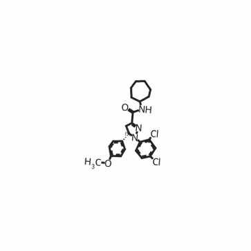 COc1ccc([C@@H]2CC(C(=O)NC3CCCCCC3)=NN2c2ccc(Cl)cc2Cl)cc1